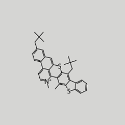 Cc1c2c(c(CC(C)(C)C)c3c1sc1ccccc13)Sc1cc3cc(CC(C)(C)C)ccc3c3cc[n+](C)c-2c13